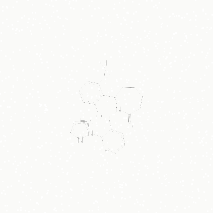 COc1cccc(OC)c1C1CCCCC(=O)N1Cc1cccnc1-n1cccn1